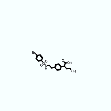 O=C(O)C(CCO)c1ccc(CCNS(=O)(=O)c2ccc(Br)cc2)cc1